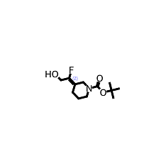 CC(C)(C)OC(=O)N1CCC/C(=C(/F)CO)C1